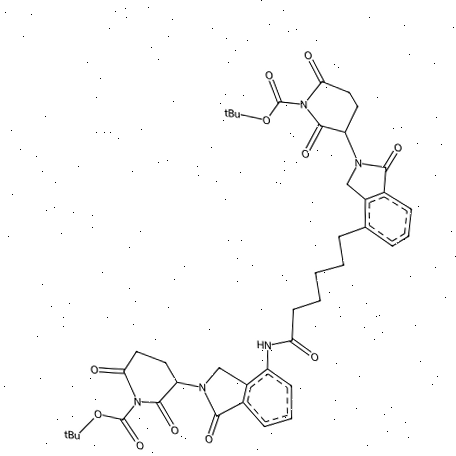 CC(C)(C)OC(=O)N1C(=O)CCC(N2Cc3c(CCCCCC(=O)Nc4cccc5c4CN(C4CCC(=O)N(C(=O)OC(C)(C)C)C4=O)C5=O)cccc3C2=O)C1=O